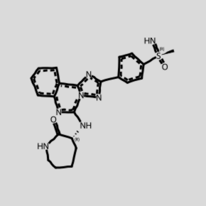 C[S@@](=N)(=O)c1ccc(-c2nc3c4ccccc4nc(N[C@@H]4CCCCNC4=O)n3n2)cc1